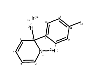 [2H]N1C=CC=CC1([2H])c1ccc(C)cc1.[Ir+3]